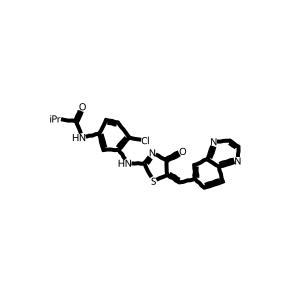 CC(C)C(=O)Nc1ccc(Cl)c(NC2=NC(=O)C(=Cc3ccc4nccnc4c3)S2)c1